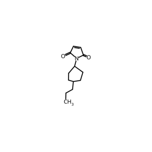 CCCC1CCC(N2C(=O)C=CC2=O)CC1